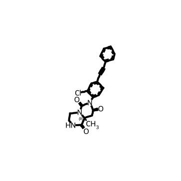 C[C@]12CC(=O)N(c3ccc(C#Cc4ccccc4)cc3Cl)C(=O)N1CCNC2=O